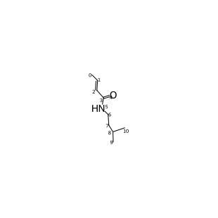 CC=CC(=O)NCCC(C)C